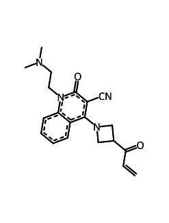 C=CC(=O)C1CN(c2c(C#N)c(=O)n(CCN(C)C)c3ccccc23)C1